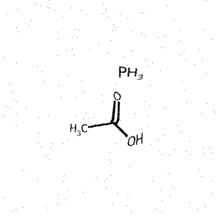 CC(=O)O.P